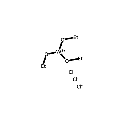 CC[O][W+3]([O]CC)[O]CC.[Cl-].[Cl-].[Cl-]